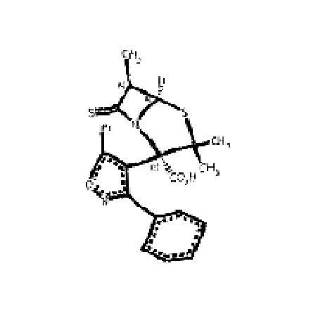 CC(C)c1onc(-c2ccccc2)c1[C@@]1(C(=O)O)N2C(=S)[C@@H](C)[C@H]2SC1(C)C